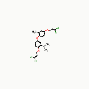 Cc1cc(OCC=C(Cl)Cl)ccc1Oc1ccc(OCC=C(Cl)Cl)c(C(C)C)c1